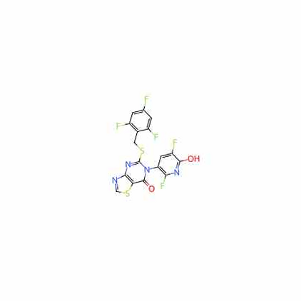 O=c1c2scnc2nc(SCc2c(F)cc(F)cc2F)n1-c1cc(F)c(O)nc1F